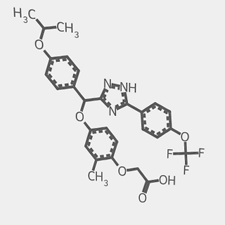 Cc1cc(OC(c2ccc(OC(C)C)cc2)c2n[nH]c(-c3ccc(OC(F)(F)F)cc3)n2)ccc1OCC(=O)O